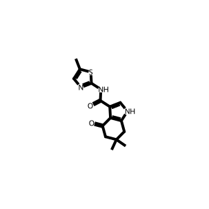 Cc1cnc(NC(=O)c2c[nH]c3c2C(=O)CC(C)(C)C3)s1